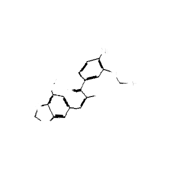 CCOc1cc(C(=O)/C(Cl)=C\c2cc(OC)c3c(c2)OCO3)ccc1N